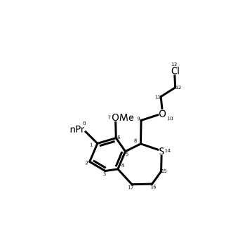 CCCc1ccc2c(c1OC)C(COCCCl)SCCC2